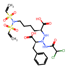 C=CS(=O)(=O)N(CCCC[C@H](NN(NC(=O)C(Cl)Cl)[C@@H](Cc1ccccc1)C(=O)O)C(=O)O)S(=O)(=O)C=C